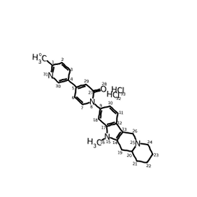 Cc1ccc(-c2ccn(-c3ccc4c5c(n(C)c4c3)CC3CCCCN3C5)c(=O)c2)cn1.Cl.Cl